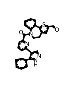 O=Cc1cc2c(s1)-c1ccccc1N(C(=O)c1cccc(-c3cn[nH]c3-c3ccccc3)n1)CC2